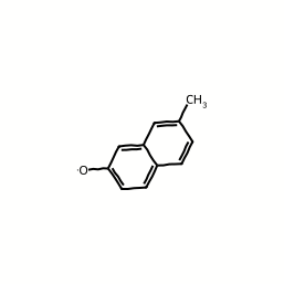 Cc1ccc2ccc([O])cc2c1